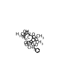 CC(=O)O[C@H]1[C@H]2[C@@H](OC(=O)Cc3ccccc3)[C@@H](C)C[C@]2(OC(C)=O)C(=O)/C(C)=C/[C@@H]2[C@H](CC[C@@]13CO3)C2(C)C